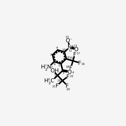 CC(O)(C(=O)c1c(N)ccc([N+](=O)[O-])c1C(F)(F)F)C(F)(F)F